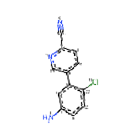 N#Cc1ccc(-c2cc(N)ccc2Cl)cn1